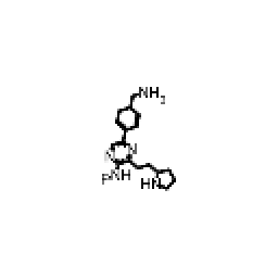 NCC1C=CC(c2cnc(NF)c(CCC3CCCN3)n2)=CC1